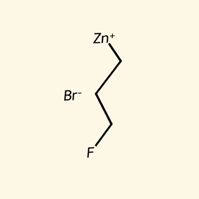 FCC[CH2][Zn+].[Br-]